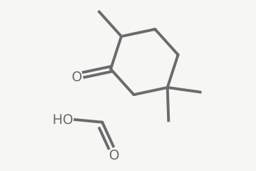 CC1CCC(C)(C)CC1=O.O=CO